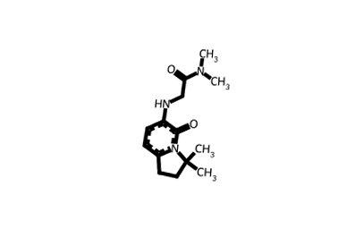 CN(C)C(=O)CNc1ccc2n(c1=O)C(C)(C)CC2